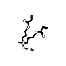 C=CC(=O)OCCC[Si](C)(CCCOC(=O)C=C)OCCCC